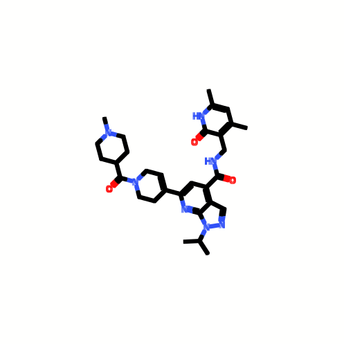 Cc1cc(C)c(CNC(=O)c2cc(C3=CCN(C(=O)C4CCN(C)CC4)CC3)nc3c2cnn3C(C)C)c(=O)[nH]1